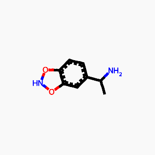 CC(N)c1ccc2c(c1)ONO2